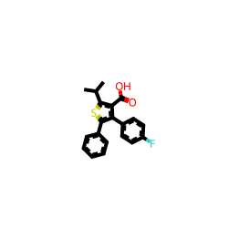 CC(C)c1sc(-c2ccccc2)c(-c2ccc(F)cc2)c1C(=O)O